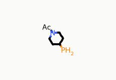 CC(=O)N1CCC(P)CC1